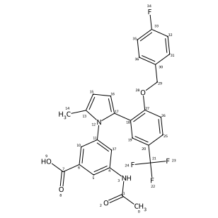 CC(=O)Nc1cc(C(=O)O)cc(-n2c(C)ccc2-c2cc(C(F)(F)F)ccc2OCc2ccc(F)cc2)c1